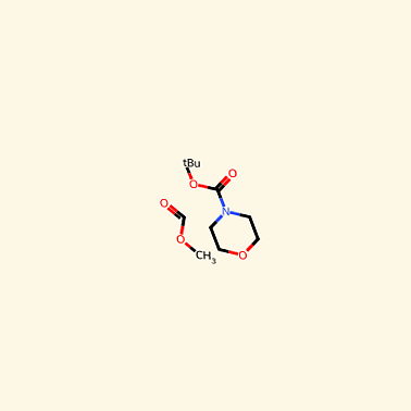 CC(C)(C)OC(=O)N1CCOCC1.COC=O